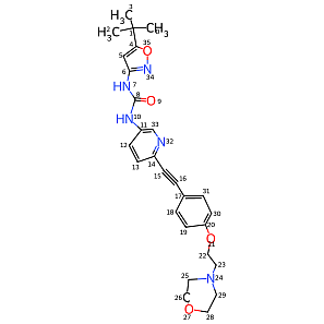 CC(C)(C)c1cc(NC(=O)Nc2ccc(C#Cc3ccc(OCCN4CCOCC4)cc3)nc2)no1